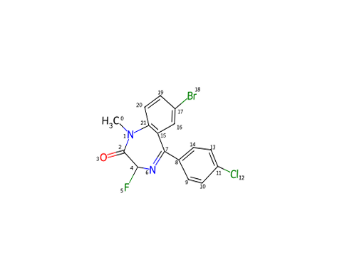 CN1C(=O)C(F)N=C(c2ccc(Cl)cc2)c2cc(Br)ccc21